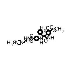 COC(=O)c1cc2c(cc1C)/C(=C(/Nc1ccc(S(=O)(=O)NOCCN3CCN(C)CC3)cc1)c1ccccc1)C(=O)N2